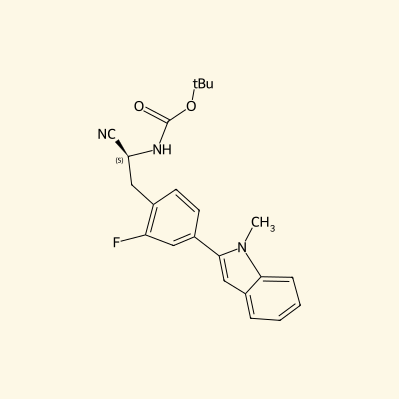 Cn1c(-c2ccc(C[C@@H](C#N)NC(=O)OC(C)(C)C)c(F)c2)cc2ccccc21